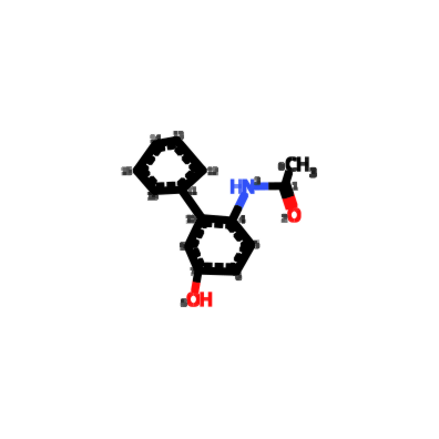 CC(=O)Nc1ccc(O)cc1-c1ccccc1